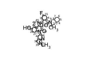 C[C@@H]1Cc2ccccc2CN1C(=O)c1ccc(F)cc1-c1cc(C(=O)N(c2ccc(O)cc2)c2cnc3c(ccn3C)c2)c2n1CCCC2